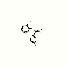 CCc1csc(/C(=N/N)Nc2c(OC)cccc2OC)n1